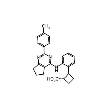 Cc1ccc(-c2nc3c(c(Nc4ccccc4C4CCC4C(=O)O)n2)CCC3)cc1